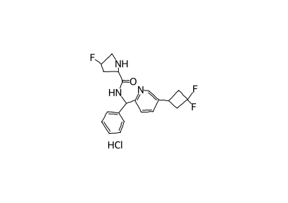 Cl.O=C(NC(c1ccccc1)c1ccc(C2CC(F)(F)C2)cn1)C1CC(F)CN1